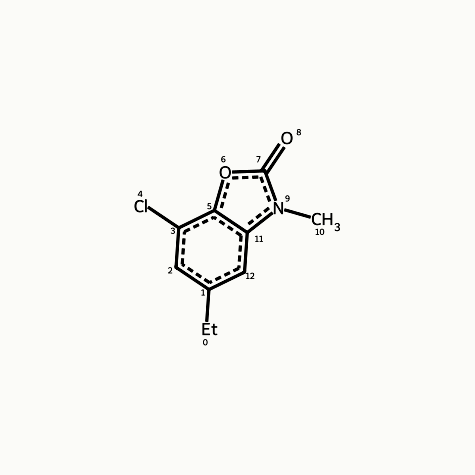 CCc1cc(Cl)c2oc(=O)n(C)c2c1